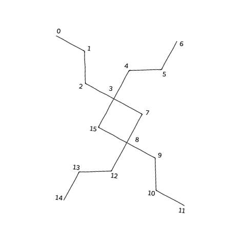 CCCC1(CCC)CC(CCC)(CCC)C1